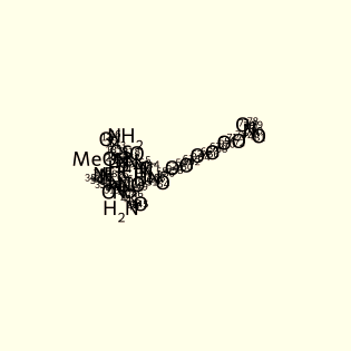 CCn1nc(C)cc1C(=O)/N=c1\sc2cc(C(N)=O)cc(OC)c2n1C/C=C/Cn1c(NC(=O)c2cc(C)nn2CC)nc2cc(C(N)=O)cc(OCCCNC(=O)CCOCCOCCOCCOCCOCCOCCN3C(=O)C=CC3=O)c21